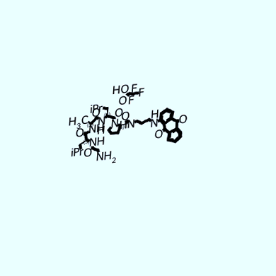 CC(C)C[C@H](NC(=O)CN)C(=O)N[C@@H](C)C(=O)N[C@@H](CC(C)C)C(=O)N1CCC[C@H]1C(=O)NCCCNc1cccc2c1C(=O)c1ccccc1C2=O.O=C(O)C(F)(F)F